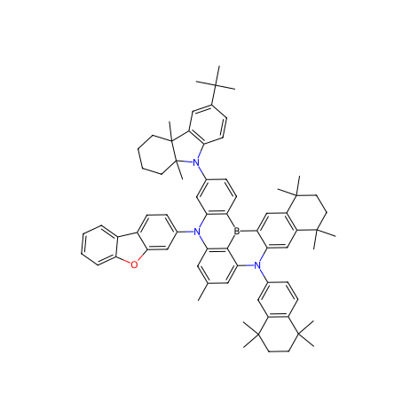 Cc1cc2c3c(c1)N(c1ccc4c(c1)C(C)(C)CCC4(C)C)c1cc4c(cc1B3c1ccc(N3c5ccc(C(C)(C)C)cc5C5(C)CCCCC35C)cc1N2c1ccc2c(c1)oc1ccccc12)C(C)(C)CCC4(C)C